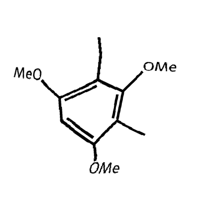 COc1cc(OC)c(C)c(OC)c1C